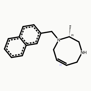 C[C@@H]1CNC/C=C\CN1Cc1ccc2ccccc2c1